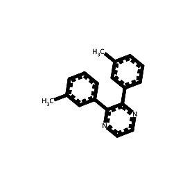 Cc1cccc(-c2nccnc2-c2cccc(C)c2)c1